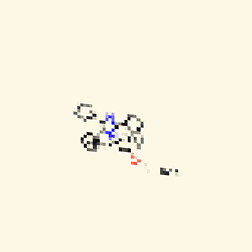 CCCCCCC(CCOCCOC)(C(=O)O)n1c(-c2ccccc2)nc(-c2ccccc2)c1-c1ccccc1